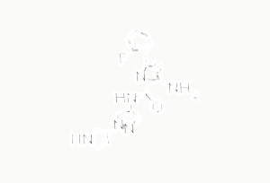 Nc1sc(-c2ccccc2F)nc1C(=O)Nc1cnn(C2CCNC2)c1